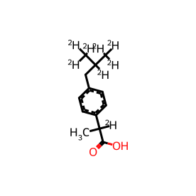 [2H]C(C)(C(=O)O)c1ccc(CC([2H])(C([2H])([2H])[2H])C([2H])([2H])[2H])cc1